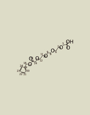 O=C(O)COCCOCCOCCOCC(=O)OCc1ccccc1